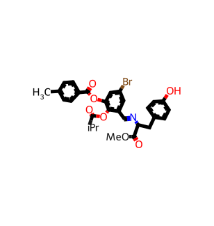 COC(=O)C(Cc1ccc(O)cc1)N=Cc1cc(Br)cc(OC(=O)c2ccc(C)cc2)c1OC(=O)C(C)C